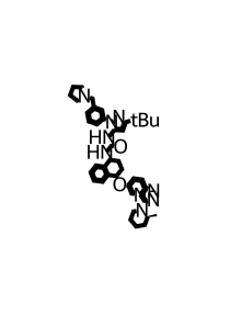 C[C@H]1CCCCN1c1nnc2ccc(O[C@@H]3CC[C@H](NC(=O)Nc4cc(C(C)(C)C)nn4-c4cccc(CN5CCCC5)c4)c4ccccc43)cn12